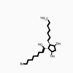 O=C(O)CCCCCC[C@@H]1[C@@H](C(O)=CCCCCCCBr)[C@H](O)C[C@@H]1O